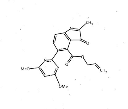 C=CCOC(=O)c1c(-c2nc(OC)cc(OC)n2)ccc2c1C(=O)C(C)=N2